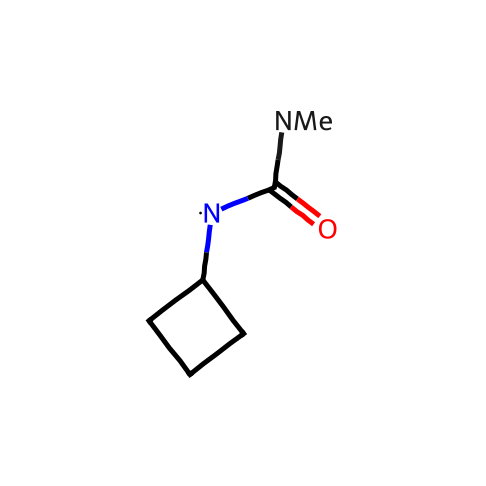 CNC(=O)[N]C1CCC1